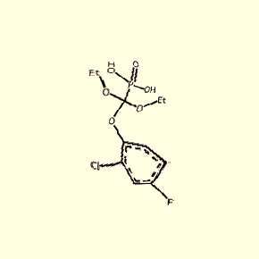 CCOC(OCC)(Oc1c[c]c(F)cc1Cl)P(=O)(O)O